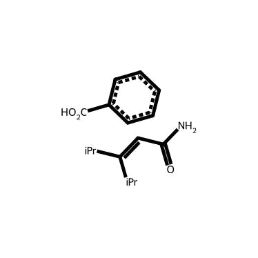 CC(C)C(=CC(N)=O)C(C)C.O=C(O)c1ccccc1